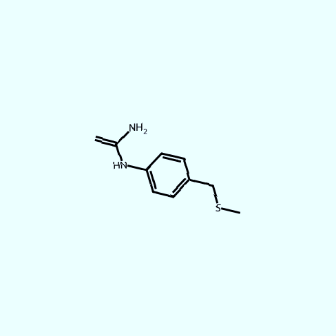 C=C(N)Nc1ccc(CSC)cc1